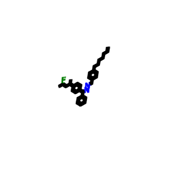 C=CCCCCCc1ccc(C=NN=C(c2ccccc2)c2ccc(C(C)CC(C)F)cc2)cc1